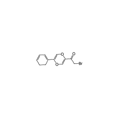 O=C(CBr)C1=COC(C2=CC=CCC2)=CO1